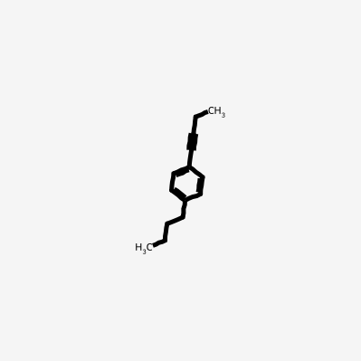 CCC#Cc1ccc(CCCC)cc1